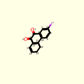 O=C1C(=O)c2cc(I)ccc2C2=C1C=CCC2